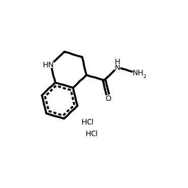 Cl.Cl.NNC(=O)C1CCNc2ccccc21